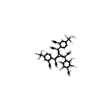 CC(F)(F)c1ccc(/C(C#N)=C2/C(=C(C#N)c3ccc(C(F)(F)F)cc3C#N)/C2=C(/C#N)c2c(F)c(F)c(C#N)c(F)c2F)c(C#N)c1